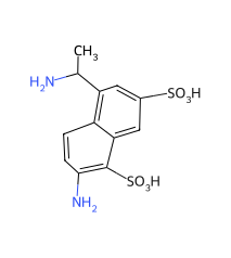 CC(N)c1cc(S(=O)(=O)O)cc2c(S(=O)(=O)O)c(N)ccc12